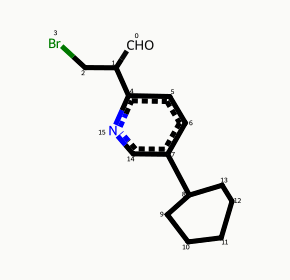 O=CC(CBr)c1ccc(C2CCCCC2)cn1